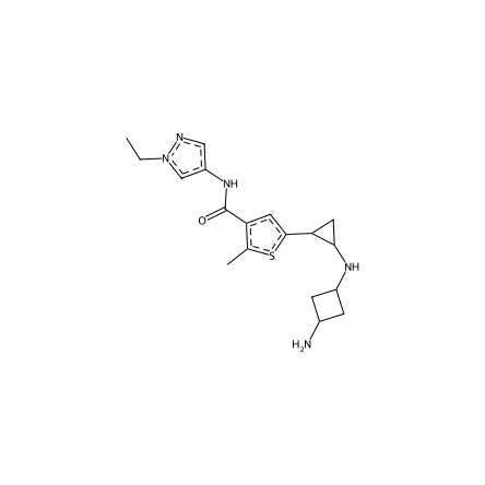 CCn1cc(NC(=O)c2cc(C3CC3NC3CC(N)C3)sc2C)cn1